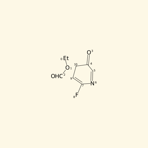 CCOC=O.O=C1C=NC(F)=CC1